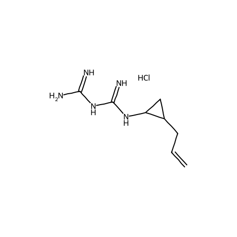 C=CCC1CC1NC(=N)NC(=N)N.Cl